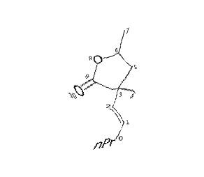 CCCC=CC1(C)CC(C)OC1=O